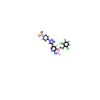 Nc1ncc(-c2cn(C3CCN([SH](=O)=O)CC3)nn2)cc1OCCc1c(Cl)ccc(F)c1Cl